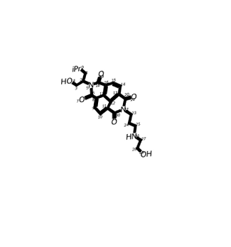 CC(C)CC(CO)N1C(=O)c2ccc3c4c(ccc(c24)C1=O)C(=O)N(CCCNCCO)C3=O